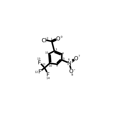 O=C(Cl)c1cc([N+](=O)[O-])cc(C(F)(F)F)c1